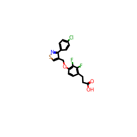 O=C(O)CCc1ccc(OCc2csnc2-c2ccc(Cl)cc2)c(F)c1F